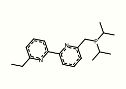 CCc1cccc(-c2cccc(CP(C(C)C)C(C)C)n2)n1